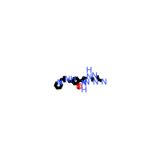 COc1cc(CNC(C)(C)CN2CCCCC2)ccc1-c1cc(Nc2cnc(C#N)cn2)n[nH]1